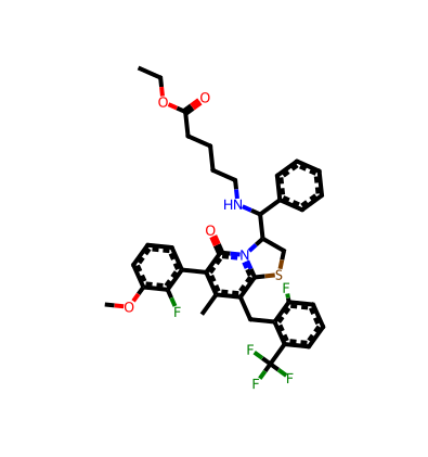 CCOC(=O)CCCCNC(c1ccccc1)C1CSc2c(Cc3c(F)cccc3C(F)(F)F)c(C)c(-c3cccc(OC)c3F)c(=O)n21